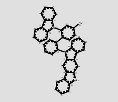 N#Cc1ccc(-c2ccccc2-n2c3ccccc3c3cc4oc5ccccc5c4cc32)c(-n2c3ccccc3c3ccccc32)c1